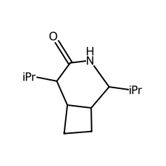 CC(C)C1NC(=O)C(C(C)C)C2CCC21